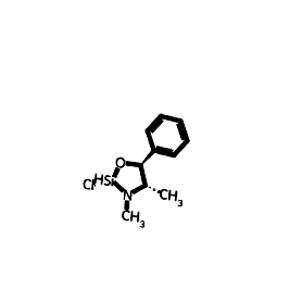 C[C@H]1[C@H](c2ccccc2)O[SiH](Cl)N1C